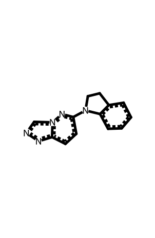 c1ccc2c(c1)CCN2c1ccc2nncn2n1